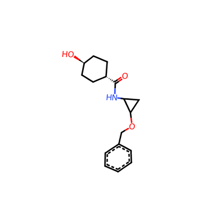 O=C(NC1CC1OCc1ccccc1)[C@H]1CC[C@H](O)CC1